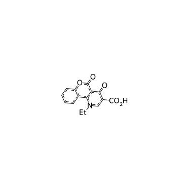 CCn1cc(C(=O)O)c(=O)c2c(=O)oc3ccccc3c21